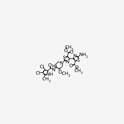 COC(=O)c1sc(N)nc1-c1nc(N2CC[C@@H](NC(=O)c3[nH]c(C)c(Cl)c3Cl)[C@@H](OC)C2)sc1C(=O)OC